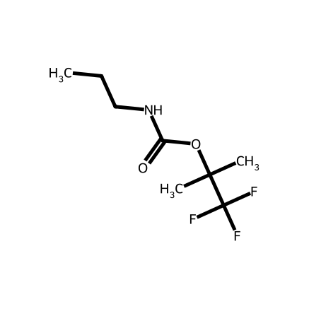 CCCNC(=O)OC(C)(C)C(F)(F)F